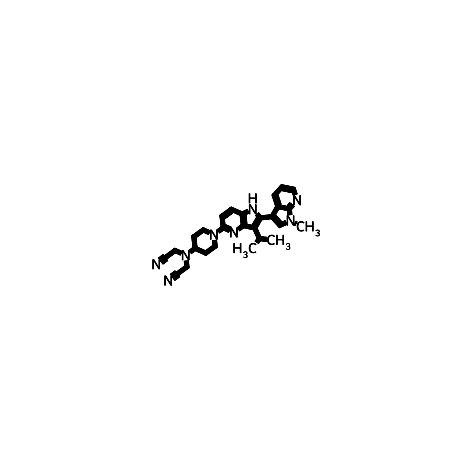 CC(C)c1c(-c2cn(C)c3ncccc23)[nH]c2ccc(N3CCC(N(CC#N)CC#N)CC3)nc12